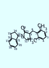 Cc1cccc(C)c1CC1CCN([C@H]2CCc3ccccc32)C1=O